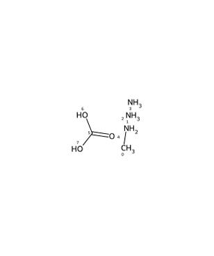 CN.N.N.O=C(O)O